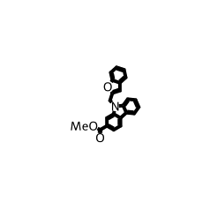 COC(=O)c1ccc2c3ccccc3n(Cc3cc4ccccc4o3)c2c1